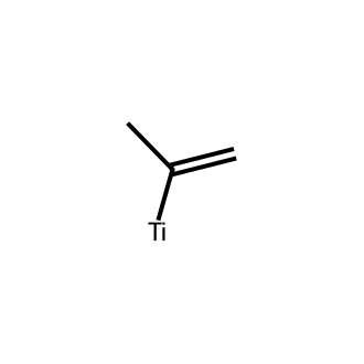 C=[C](C)[Ti]